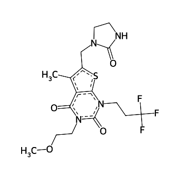 COCCn1c(=O)c2c(C)c(CN3CCNC3=O)sc2n(CCC(F)(F)F)c1=O